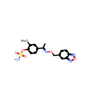 COc1cc(/C(C)=N/OCc2ccc3nonc3c2)ccc1OS(N)(=O)=O